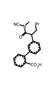 CC(C)CC(C(=O)N(C)C#N)c1cccc(-c2ccccc2C(=O)O)c1